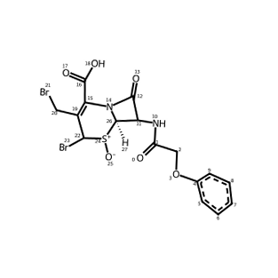 O=C(COc1ccccc1)NC1C(=O)N2C(C(=O)O)=C(CBr)C(Br)[S+]([O-])[C@H]12